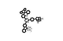 CC1(C)c2ccccc2-c2ccc(-c3nc(-c4ccc(C56CC7C[C@H]8C[C@@H](C5)C78C6)cc4)nc(-c4cccc5c4Oc4ccccc4C54c5ccccc5-c5ccccc54)n3)cc21